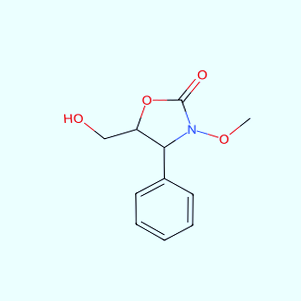 CON1C(=O)OC(CO)C1c1ccccc1